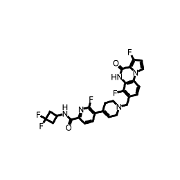 O=C(NC1CC(F)(F)C1)c1ccc(C2=CCN(Cc3ccc4c([nH]c(=O)c5c(F)ccn54)c3F)CC2)c(F)n1